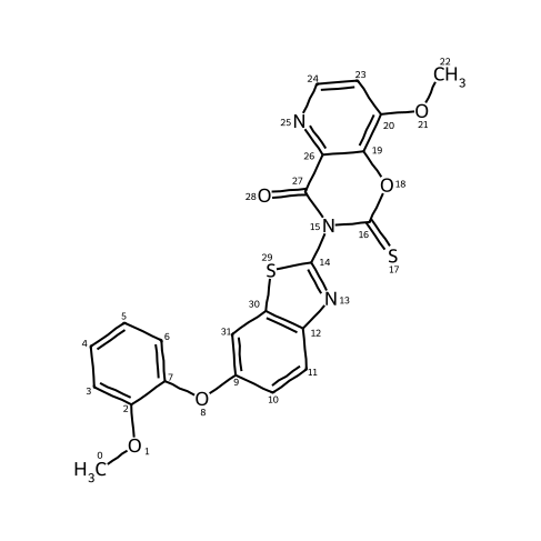 COc1ccccc1Oc1ccc2nc(-n3c(=S)oc4c(OC)ccnc4c3=O)sc2c1